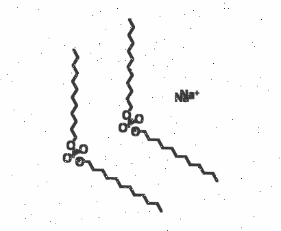 CCCCCCCCCCCCOP(=O)([O-])OCCCCCCCCCCCC.CCCCCCCCCCCCOP(=O)([O-])OCCCCCCCCCCCC.[Na+].[Na+]